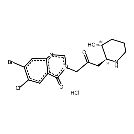 Cl.O=C(C[C@@H]1NCCC[C@H]1O)Cn1cnc2cc(Br)c(Cl)cc2c1=O